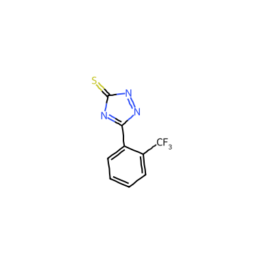 FC(F)(F)c1ccccc1C1=NC(=S)N=N1